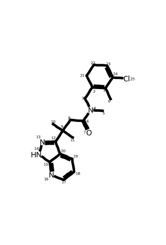 CC1=C(CN(C)C(=O)CC(C)(C)c2n[nH]c3ncccc23)CCC=C1Cl